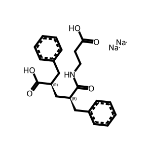 O=C(O)CCNC(=O)[C@@H](Cc1ccccc1)C[C@H](Cc1ccccc1)C(=O)O.[Na].[Na]